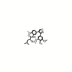 COc1ccc(-c2conc2-c2cc(OC)c(OC)c(OC)c2)cc1NC(=O)C(N)CC(C)C